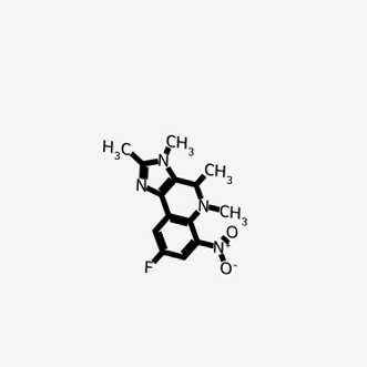 Cc1nc2c(n1C)C(C)N(C)c1c-2cc(F)cc1[N+](=O)[O-]